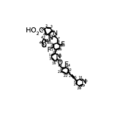 O=C(O)c1ccc2nc(Cc3cc(F)c(-c4cccc(OCc5ccc(C#Cc6cccnc6)cc5F)n4)cc3F)n(C[C@@H]3CCO3)c2c1